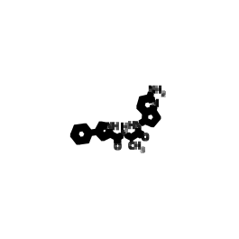 C[C@H](NC(=O)c1cc(-c2ccccc2)c[nH]1)C(=O)NC1CCc2nc(N)ccc21